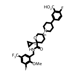 COc1c(F)cc(C(F)(F)F)cc1CNC(=O)[C@@]1(C2CC2)CC[C@@H](N2CCC(c3ccc(F)c(C(=O)O)c3)CC2)CO1